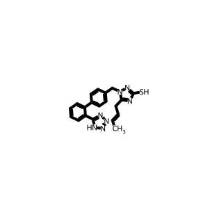 CC=CCc1nc(S)nn1Cc1ccc(-c2ccccc2-c2nnn[nH]2)cc1